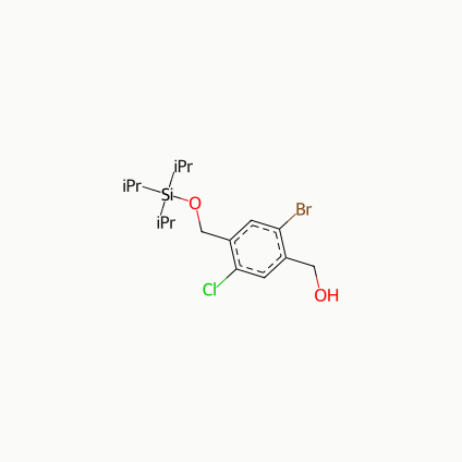 CC(C)[Si](OCc1cc(Br)c(CO)cc1Cl)(C(C)C)C(C)C